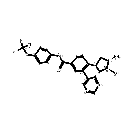 N[C@H]1CN(c2ccc(C(=O)Nc3ccc(OC(F)(F)Cl)cc3)cc2-c2cncnc2)C[C@@H]1O